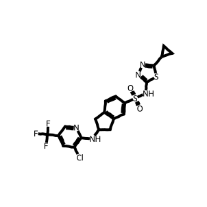 O=S(=O)(Nc1nnc(C2CC2)s1)c1ccc2c(c1)CC(Nc1ncc(C(F)(F)F)cc1Cl)C2